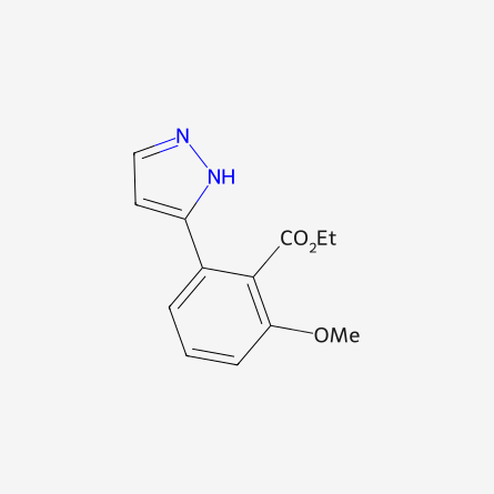 CCOC(=O)c1c(OC)cccc1-c1ccn[nH]1